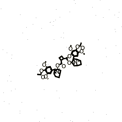 COc1cc(C[N+]2(C)C3CCC2CC(OC(=O)C2CCC2C(=O)O[C@H]2CC4CCC(C2)[N@@+]4(C)Cc2cc(OC)c(OC(C)=O)c(OC)c2)C3)cc(OC)c1OC(C)=O